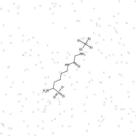 CC[N+](CC)(CC)CC.NCC(=O)NCCCCC(N)S(=O)(=O)[O-]